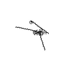 CCCCCCCCCCCCCCCCCCC1=CO1.CCCCCCCCCCCCCCCCCC[C@H](O)CSC[C@H](NC(=O)CCCCCCCCCCCCCCC)C(=O)O